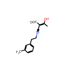 C/C(O)=C(\C#[N+]CCc1cccc(C(F)(F)F)c1)C(=O)[O-]